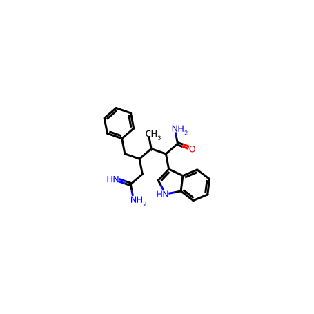 C[C](C(CC(=N)N)Cc1ccccc1)C(C(N)=O)c1c[nH]c2ccccc12